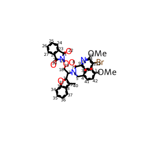 COc1ccc(CN(C(=O)c2ccc(Br)c(OC)n2)C(CON2C(=O)c3ccccc3C2=O)c2oc3ccccc3c2C)cc1